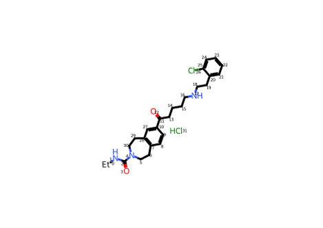 CCNC(=O)N1CCc2ccc(C(=O)CCCCNCCc3ccccc3Cl)cc2CC1.Cl